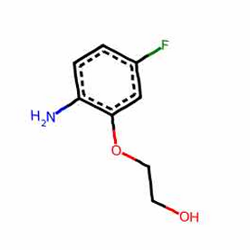 Nc1ccc(F)cc1OCCO